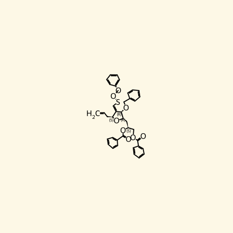 C=CC[C@@H]1O[C@H](C[C@@H](COC(=O)c2ccccc2)OC(=O)c2ccccc2)[C@H](OCc2ccccc2)C1=CSOOc1ccccc1